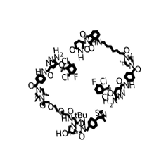 C[C@@H]1CN(C(=O)c2ccc(NC(=O)c3cc(O[C@H](C)c4c(Cl)ccc(F)c4Cl)c(N)nn3)cc2)C[C@H](C)N1C(=O)CCCCCCNc1cccc2c1C(=O)N(C1CCC(=O)NC1=O)C2=O.Cc1ncsc1-c1ccc(CNC(=O)[C@@H]2C[C@@H](O)CN2C(=O)C(NC(=O)COCCOCC(=O)N2[C@H](C)CN(C(=O)c3ccc(NC(=O)c4cc(O[C@H](C)c5c(Cl)ccc(F)c5Cl)c(N)nn4)cc3)C[C@@H]2C)C(C)(C)C)cc1